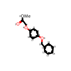 COC(=O)COc1ccc(OCc2ccccc2)cc1